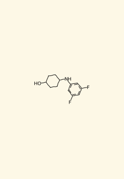 OC1CCC(Nc2cc(F)cc(F)c2)CC1